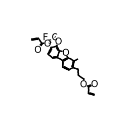 C=CC(=O)OCCCc1ccc2c(oc3c(OC(F)(F)F)c(OC(=O)C=C)ccc32)c1C